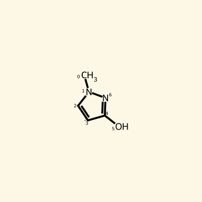 Cn1c[c]c(O)n1